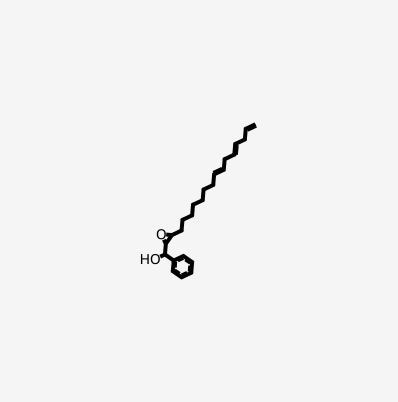 C=CCC=CCC=CCCCCCCCC1OC1C(O)c1ccccc1